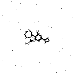 O=C(O)N1CCCOCC1c1ccc(C2COC2)cc1Cl